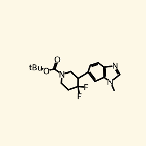 Cn1cnc2ccc(C3CN(C(=O)OC(C)(C)C)CCC3(F)F)cc21